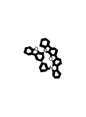 c1ccc(-n2c3ccccc3c3ccc4c5ccc6c7ccccc7n(-c7cccc8c7oc7ccccc78)c6c5oc4c32)cc1